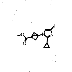 COC(=O)C12CC(n3cc(I)nc3C3CC3)(C1)C2